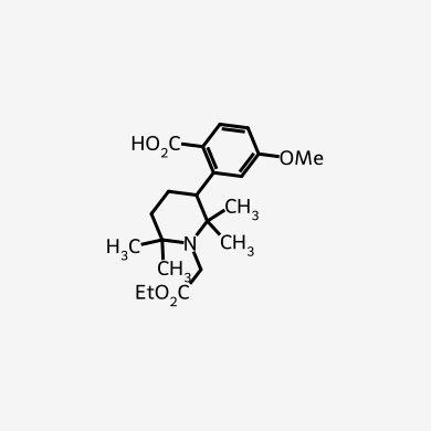 CCOC(=O)CN1C(C)(C)CCC(c2cc(OC)ccc2C(=O)O)C1(C)C